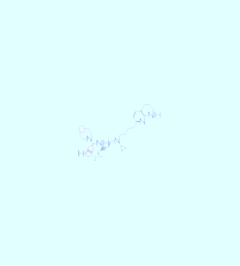 O=C(O)[C@H](CCN(CCCCc1ccc2c(n1)NCCC2)C1CC1)NC(=O)N1CCOCC1